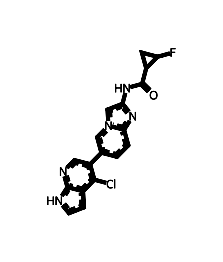 O=C(Nc1cn2cc(-c3cnc4[nH]ccc4c3Cl)ccc2n1)C1CC1F